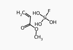 C=CC(=O)OC.O[Si](O)(O)F